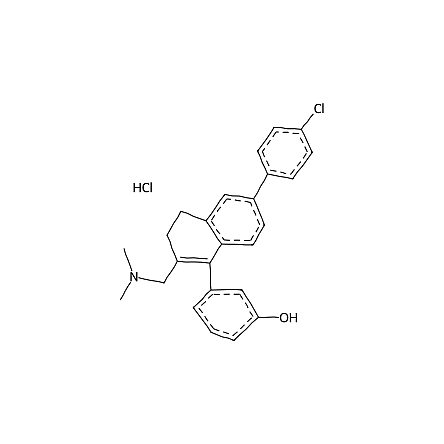 CN(C)CC1=C(c2cccc(O)c2)c2ccc(-c3ccc(Cl)cc3)cc2CC1.Cl